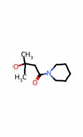 CC(C)([O])CC(=O)N1CCCCC1